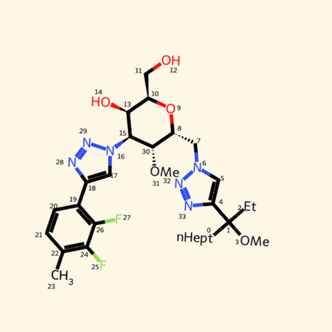 CCCCCCCC(CC)(OC)c1cn(C[C@H]2O[C@H](CO)[C@H](O)[C@H](n3cc(-c4ccc(C)c(F)c4F)nn3)[C@H]2OC)nn1